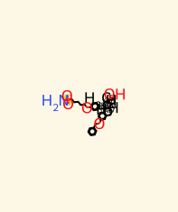 C[C@]12C[C@H](c3ccc(OCCCCCS(N)(=O)=O)cc3)[C@@H]3c4ccc(OCc5ccccc5)cc4CC[C@H]3[C@@H]1CC[C@@H]2O